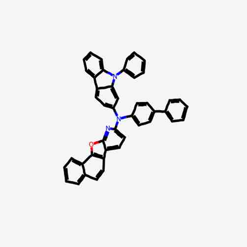 c1ccc(-c2ccc(N(c3ccc4c5ccccc5n(-c5ccccc5)c4c3)c3ccc4c(n3)oc3c5ccccc5ccc43)cc2)cc1